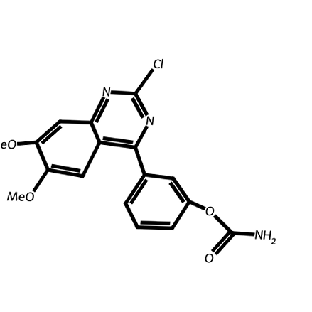 COc1cc2nc(Cl)nc(-c3cccc(OC(N)=O)c3)c2cc1OC